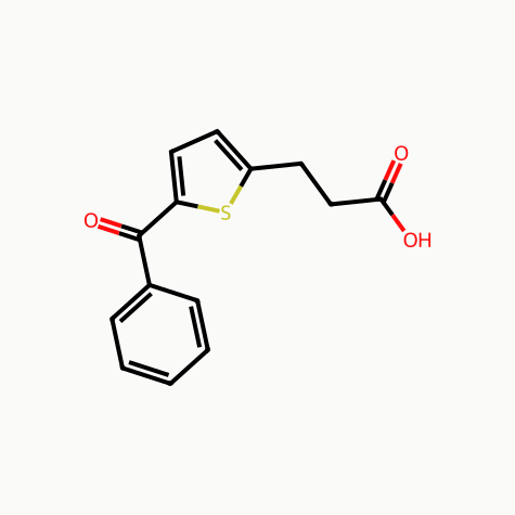 O=C(O)CCc1ccc(C(=O)c2ccccc2)s1